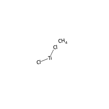 C.[Cl][Ti][Cl]